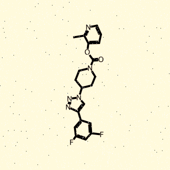 Cc1ncccc1OC(=O)N1CCC(n2cc(-c3cc(F)cc(F)c3)nn2)CC1